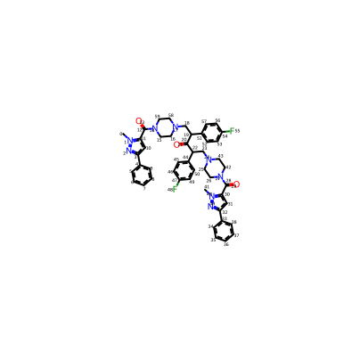 Cn1nc(-c2ccccc2)cc1C(=O)N1CCN(CC(C(=O)C(CN2CCN(C(=O)c3cc(-c4ccccc4)nn3C)CC2)c2ccc(F)cc2)c2ccc(F)cc2)CC1